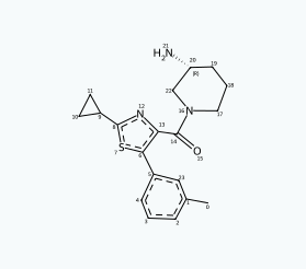 Cc1cccc(-c2sc(C3CC3)nc2C(=O)N2CCC[C@@H](N)C2)c1